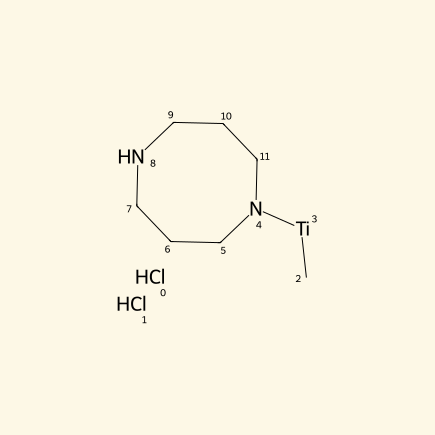 Cl.Cl.[CH3][Ti][N]1CCCNCCC1